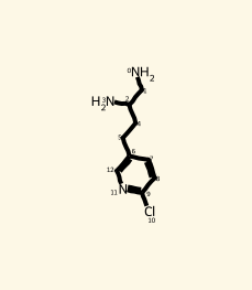 NCC(N)CCc1ccc(Cl)nc1